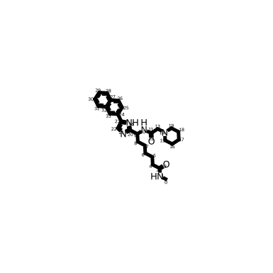 CNC(=O)CCCCCC(NC(=O)CN1CCCCC1)c1ncc(-c2ccc3ccccc3c2)[nH]1